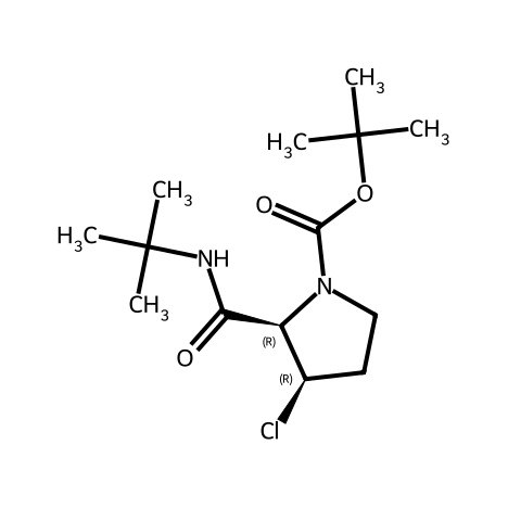 CC(C)(C)NC(=O)[C@@H]1[C@H](Cl)CCN1C(=O)OC(C)(C)C